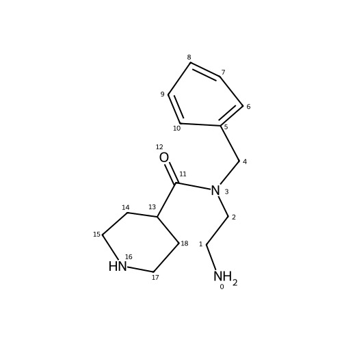 NCCN(Cc1ccccc1)C(=O)C1CCNCC1